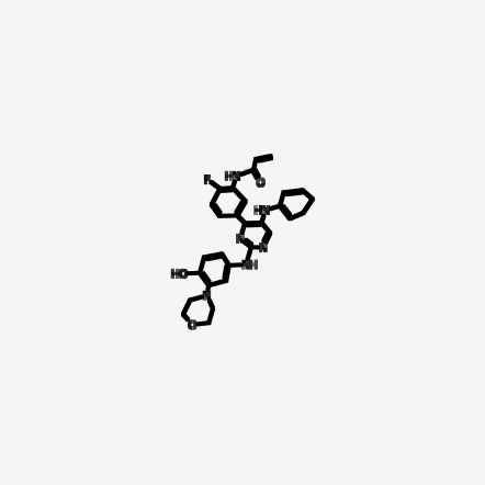 C=CC(=O)Nc1cc(-c2nc(Nc3ccc(O)c(N4CCOCC4)c3)ncc2NC2=CCCC=C2)ccc1F